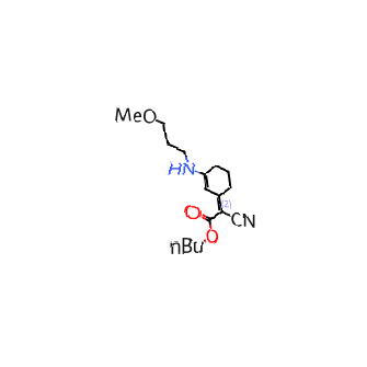 CCCCOC(=O)/C(C#N)=C1\C=C(NCCCOC)CCC1